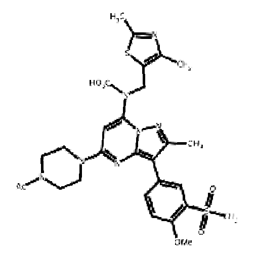 COc1ccc(-c2c(C)nn3c(N(Cc4sc(C)nc4C)C(=O)O)cc(N4CCN(C(C)=O)CC4)nc23)cc1S(C)(=O)=O